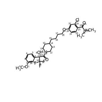 COc1cccc([C@@](O)(C(=O)N2CCC(CCCCOc3ccc(C(=O)N(C)C)c(Cl)c3)CC2)C(F)(F)F)c1